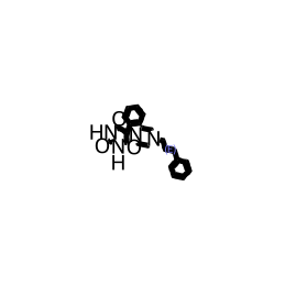 O=C1NC(=O)C(c2ccccc2)(N2CCN(C/C=C/c3ccccc3)CC2)C(=O)N1